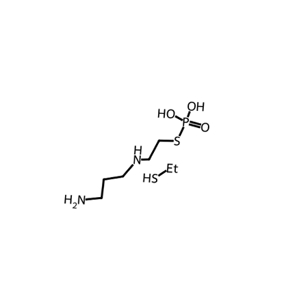 CCS.NCCCNCCSP(=O)(O)O